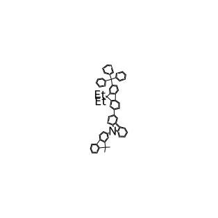 CCC1(CC)c2cc(-c3ccc4c(c3)c3ccccc3n4-c3ccc4c(c3)C(C)(C)c3ccccc3-4)ccc2-c2ccc(C(c3ccccc3)(c3ccccc3)c3ccccc3)cc21